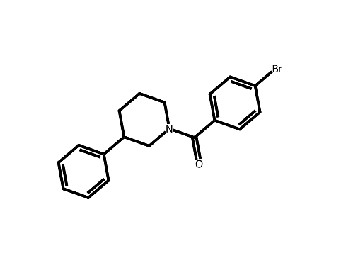 O=C(c1ccc(Br)cc1)N1CCCC(c2ccccc2)C1